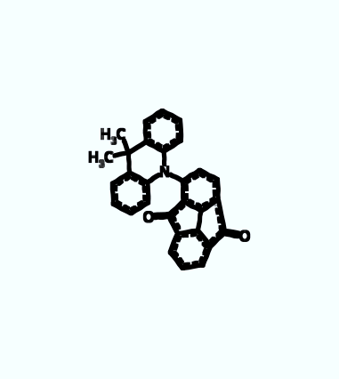 CC1(C)c2ccccc2N(c2ccc3c4c2c(=O)c2cccc(c2-4)c3=O)c2ccccc21